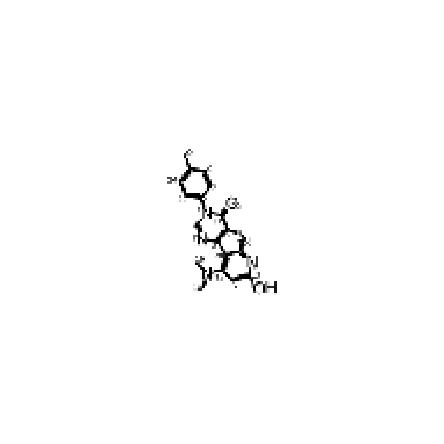 Cc1ccc(-n2cnc3c(sc4nc(O)cc(N(C)C)c43)c2=O)cc1